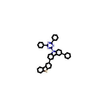 c1ccc(-c2ccc3c(c2)c2cc(-c4ccc5sc6ccccc6c5c4)ccc2n3-c2nc(-c3ccccc3)nc(-c3ccccc3)n2)cc1